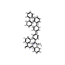 C=C(/C=C(\N=C(/N)c1ccc(C2=CCC(c3cccc(-c4ccccc4)c3C3=CCCC=C3)C=C2)cc1)C1=CC=CCC1)c1ccccc1